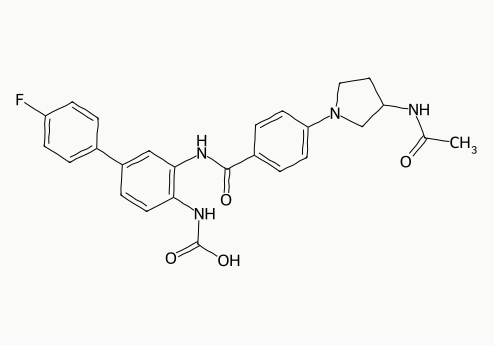 CC(=O)NC1CCN(c2ccc(C(=O)Nc3cc(-c4ccc(F)cc4)ccc3NC(=O)O)cc2)C1